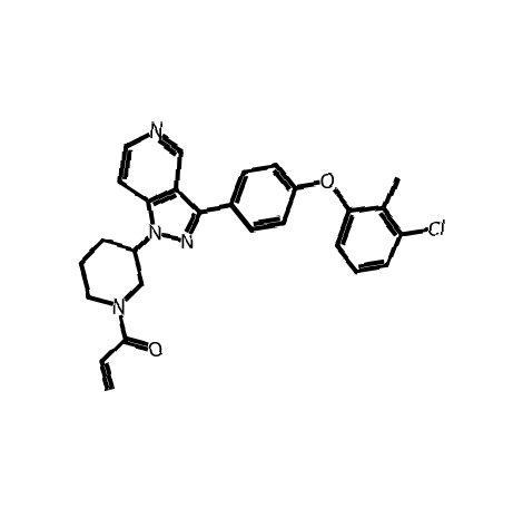 C=CC(=O)N1CCCC(n2nc(-c3ccc(Oc4cccc(Cl)c4C)cc3)c3cnccc32)C1